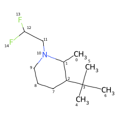 CC1C(C(C)(C)C)CCCN1CC(F)F